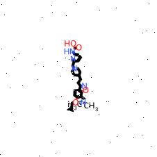 CN(C)Cc1c(OCC2CC2)ccc2c(CCC3CCN(Cc4cccc(NC(=O)O)n4)CC3)noc12